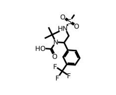 CC(C)(C)N(C(=O)O)C(CNS(C)(=O)=O)c1cccc(C(F)(F)F)c1